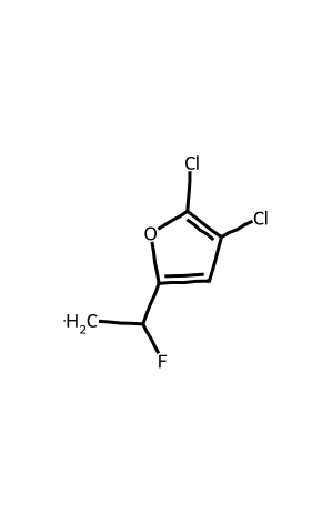 [CH2]C(F)c1cc(Cl)c(Cl)o1